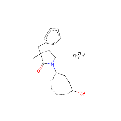 CC1(Cc2ccccc2)CCN(C2[CH]CCCC(O)CC2)C1=O.[CH2].[CH2]